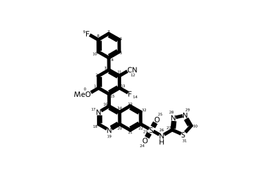 COc1cc(-c2cccc(F)c2)c(C#N)c(F)c1-c1ncnc2cc(S(=O)(=O)Nc3nncs3)ccc12